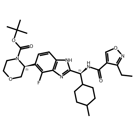 CCc1nocc1C(=O)N[C@H](c1nc2c(F)c([C@H]3COCCN3C(=O)OC(C)(C)C)ccc2[nH]1)C1CCC(C)CC1